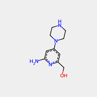 Nc1cc(N2CCNCC2)cc(CO)n1